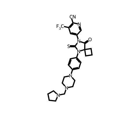 N#Cc1ncc(N2C(=O)C3(CCC3)N(c3ccc(N4CCN(CN5CCCC5)CC4)cc3)C2=S)cc1C(F)(F)F